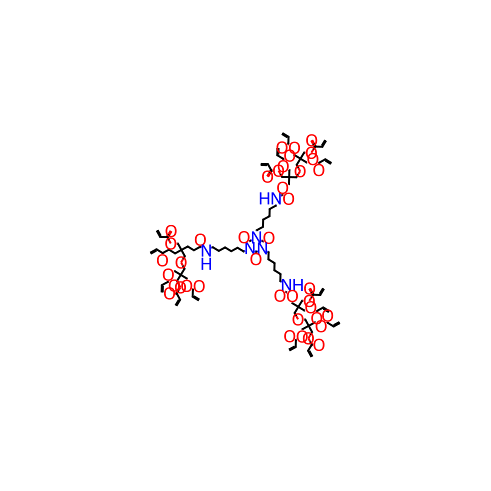 C=CC(=O)CCC(CCC(=O)NCCCCCCn1c(=O)n(CCCCCCNC(=O)OCC(COCC(COC(=O)C=C)(COC(=O)C=C)COC(=O)C=C)(COC(=O)C=C)COC(=O)C=C)c(=O)n(CCCCCCNC(=O)OCC(COCC(COC(=O)C=C)(COC(=O)C=C)COC(=O)C=C)(COC(=O)C=C)COC(=O)C=C)c1=O)(COCC(COC(=O)C=C)(COC(=O)C=C)COC(=O)C=C)COC(=O)C=C